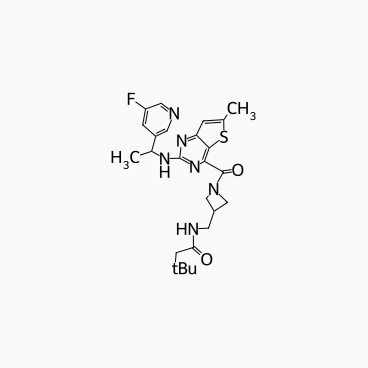 Cc1cc2nc(NC(C)c3cncc(F)c3)nc(C(=O)N3CC(CNC(=O)CC(C)(C)C)C3)c2s1